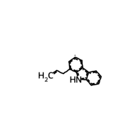 C=CCc1c[c]cc2c1[nH]c1ccccc12